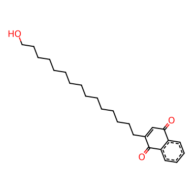 O=C1C=C(CCCCCCCCCCCCCCCO)C(=O)c2ccccc21